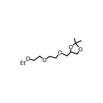 CCOCCOCCOCC1COC(C)(C)O1